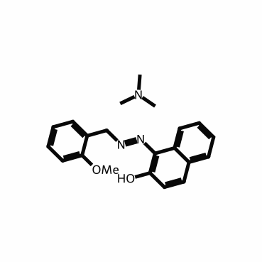 CN(C)C.COc1ccccc1CN=Nc1c(O)ccc2ccccc12